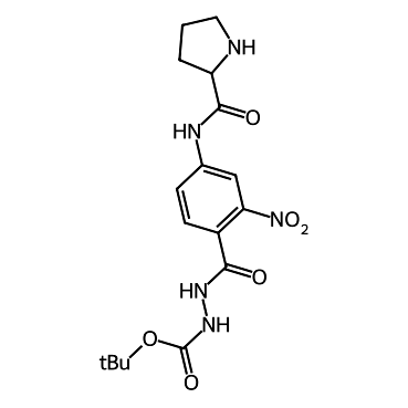 CC(C)(C)OC(=O)NNC(=O)c1ccc(NC(=O)C2CCCN2)cc1[N+](=O)[O-]